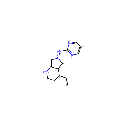 CCC1CCNC2CN(Nc3ncccn3)CC12